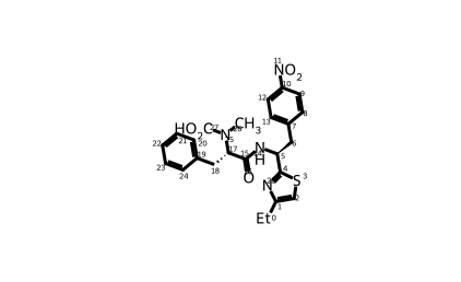 CCc1csc([C@H](Cc2ccc([N+](=O)[O-])cc2)NC(=O)[C@H](Cc2ccccc2)N(C)C(=O)O)n1